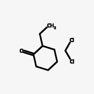 CCC1CCCCC1=O.ClCCl